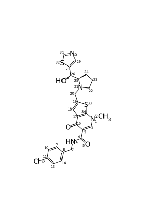 Cn1cc(C(=O)NCc2ccc(Cl)cc2)c(=O)c2cc(CN3CCC[C@@H]3[C@@H](O)c3cncs3)sc21